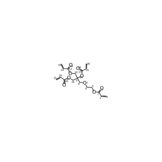 C=CC(=O)OCCOCC(COC(=O)C=C)(COC(=O)C=C)OC(=O)C=C